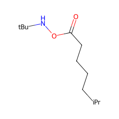 CC(C)CCCCC(=O)ONC(C)(C)C